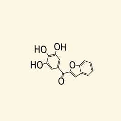 O=C(c1cc(O)c(O)c(O)c1)c1cc2ccccc2o1